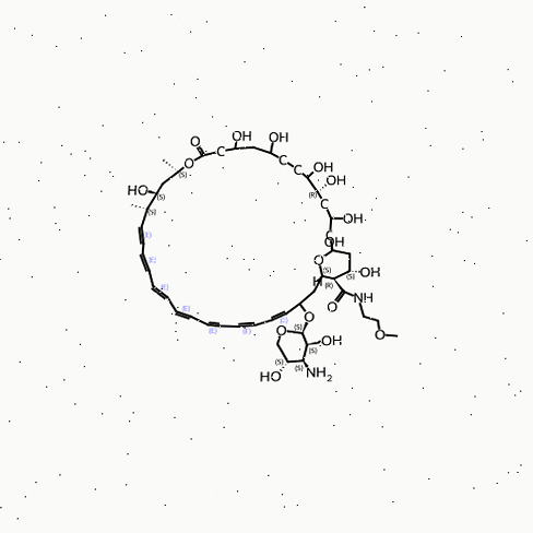 COCCNC(=O)[C@H]1[C@@H]2CC(O[C@@H]3OC[C@@H](O)[C@H](N)[C@@H]3O)/C=C/C=C/C=C/C=C/C=C/C=C/C=C/[C@H](C)[C@@H](O)C[C@H](C)OC(=O)CC(O)CC(O)CCC(O)[C@H](O)CC(O)CC(O)(C[C@@H]1O)O2